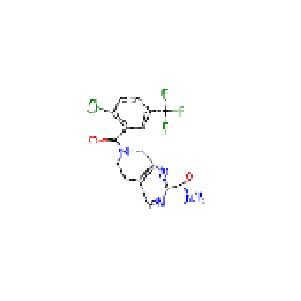 NC(=O)c1n[c]c2c(n1)CN(C(=O)c1cc(C(F)(F)F)ccc1Cl)CC2